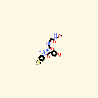 COCNC(=O)/C=C\NCC(=O)N[C@@H](C(=O)N(N)c1ccc(S(C)(C)(C)(C)C)cc1)c1ccc(OC)cc1